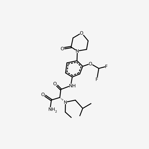 CCN(CC(C)C)[C@H](C(N)=O)C(=O)Nc1ccc(N2CCOCC2=O)c(OC(F)F)c1